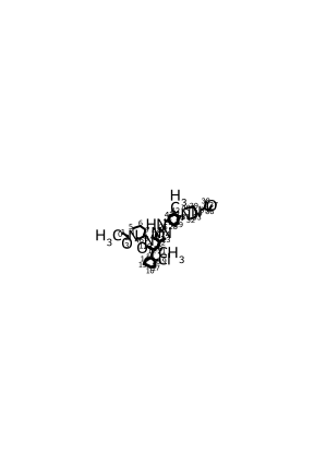 CCC(=O)N1CCCC(n2c(=O)c(-c3ccccc3Cl)c(C)c3cnc(Nc4ccc(N5CCN(C6COC6)CC5)c(C)c4)nc32)C1